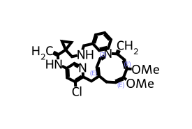 C=C1/C=C(OC)\C(OC)=C/C/C(Cc2ncc(NC(=C)C3(CNCc4ccccc4)CC3)cc2Cl)=C\C=N/1